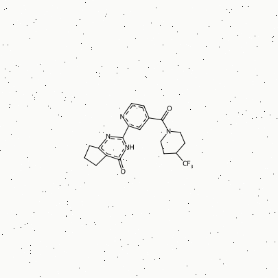 O=C(c1ccnc(-c2nc3c(c(=O)[nH]2)CCC3)c1)N1CCC(C(F)(F)F)CC1